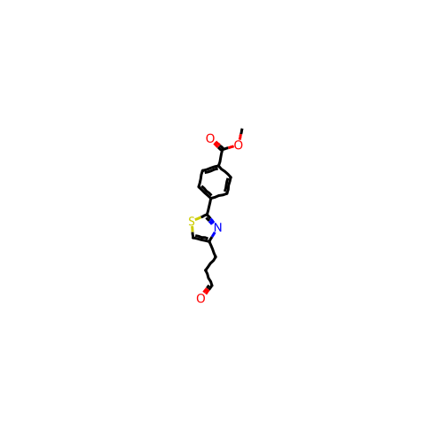 COC(=O)c1ccc(-c2nc(CCC=O)cs2)cc1